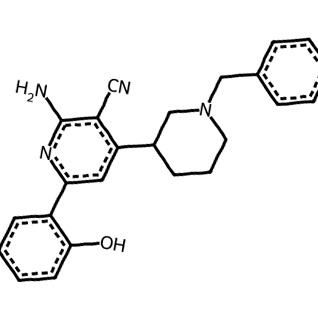 N#Cc1c(C2CCCN(Cc3ccccc3)C2)cc(-c2ccccc2O)nc1N